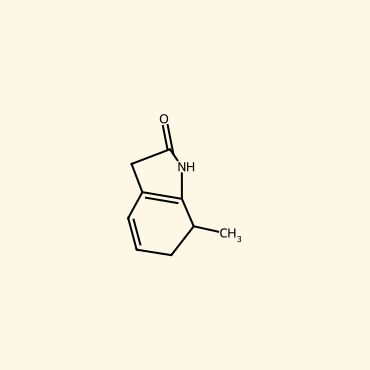 CC1CC=CC2=C1NC(=O)C2